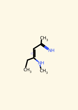 CC/C(=C/C(C)=N)NC